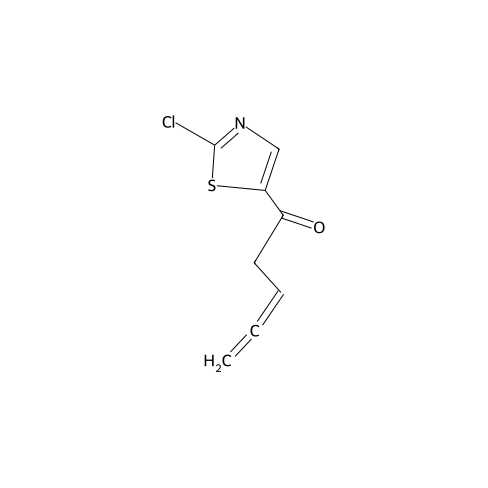 C=C=CCC(=O)c1cnc(Cl)s1